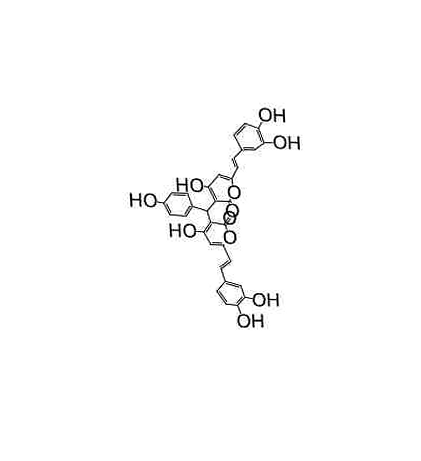 O=c1oc(C=Cc2ccc(O)c(O)c2)cc(O)c1C(c1ccc(O)cc1)c1c(O)cc(C=Cc2ccc(O)c(O)c2)oc1=O